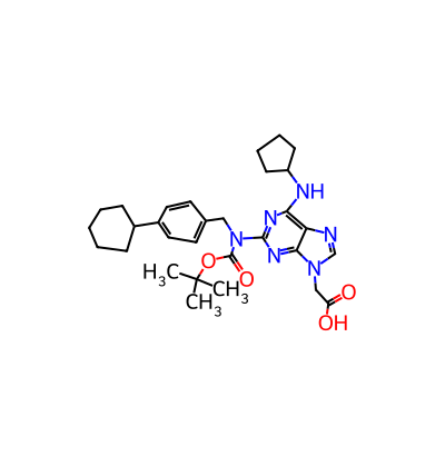 CC(C)(C)OC(=O)N(Cc1ccc(C2CCCCC2)cc1)c1nc(NC2CCCC2)c2ncn(CC(=O)O)c2n1